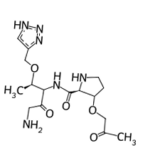 CC(=O)COC1CCN[C@@H]1C(=O)NC(C(=O)CN)[C@@H](C)OCc1c[nH]nn1